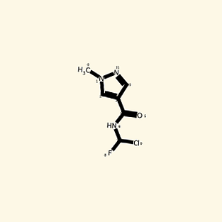 Cn1cc(C(=O)NC(F)Cl)cn1